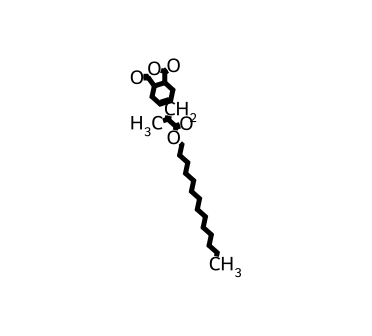 C=C(C)C(=O)OCCCCCCCCCCCCCC.O=C1OC(=O)C2CC=CCC12